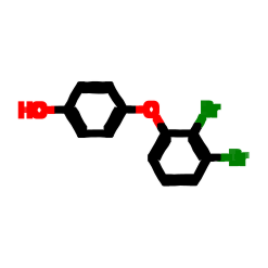 Oc1ccc(Oc2cccc(Br)c2Br)cc1